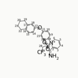 NCC1=CC=CC[N+]1(c1ccc(Oc2ccc3c(c2)CCCC3)cc1)S(=O)(=O)CC(F)(F)F